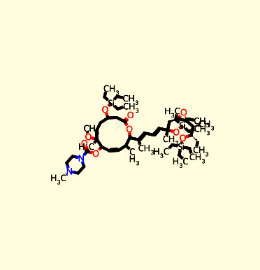 CC[C@H](O[Si](CC)(CC)CC)[C@@H](C)[C@H]1O[C@@H]1CC(C)(/C=C/C=C(\C)C1OC(=O)CC(O[Si](CC)(CC)CC)CCC(C)(OC)C(OC(=O)N2CCN(C)CC2)C=CC1C)O[Si](CC)(CC)CC